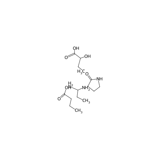 CCC(N)N.CCC(O)C(=O)O.CCCC(=O)O.O=C1CCCN1